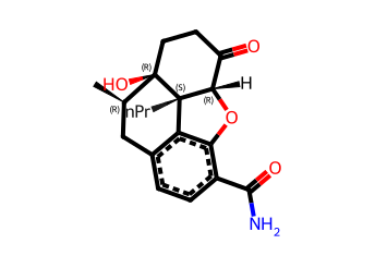 CCC[C@]12c3c4ccc(C(N)=O)c3O[C@H]1C(=O)CC[C@@]2(O)[C@H](C)C4